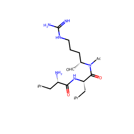 CC(=O)N(C(=O)[C@H](CC(C)C)NC(=O)[C@@H](N)CC(C)C)[C@H](C=O)CCCNC(=N)N